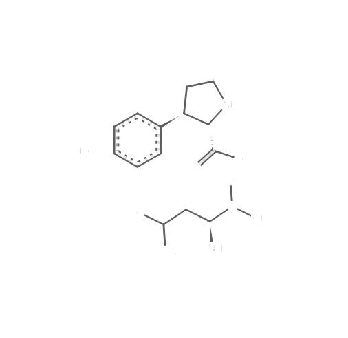 CC(C)C[C@H](N)B(O)O.Cl.O=C(O)[C@H]1NCC[C@@H]1c1ccccc1